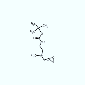 CN(CCNC(=O)OC(C)(C)C)C[C@@H]1CO1